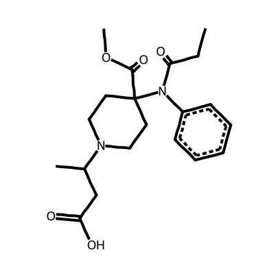 CCC(=O)N(c1ccccc1)C1(C(=O)OC)CCN(C(C)CC(=O)O)CC1